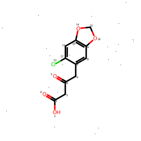 O=C(O)CC(=O)Cc1cc2c(cc1Cl)OCO2